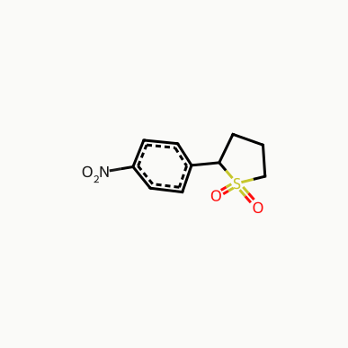 O=[N+]([O-])c1ccc(C2CCCS2(=O)=O)cc1